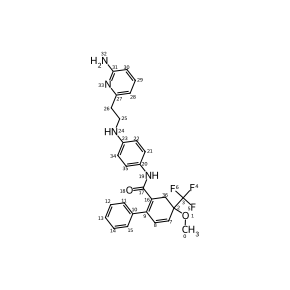 COC1(C(F)(F)F)C=CC(c2ccccc2)=C(C(=O)Nc2ccc(NCCc3cccc(N)n3)cc2)C1